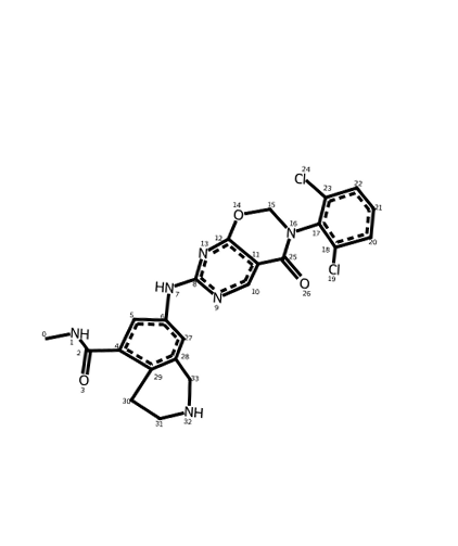 CNC(=O)c1cc(Nc2ncc3c(n2)OCN(c2c(Cl)cccc2Cl)C3=O)cc2c1CCNC2